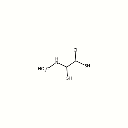 O=C(O)NC(S)C(S)Cl